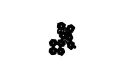 Cc1ccc2c(c1)c1ccccc1n2-c1cc2c(cc1-c1cc3c4c(c1)Oc1ccccc1B4c1ccccc1O3)-c1ccccc1-c1ccccc1-c1ccccc1-2